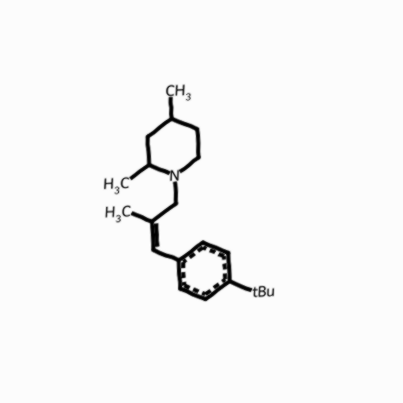 CC(=Cc1ccc(C(C)(C)C)cc1)CN1CCC(C)CC1C